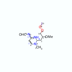 COC(CCN(C)/C=C\C(N)=N/C=O)COOI